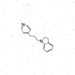 [c]1ccc2c(c1)CCN2CCCc1ccncc1